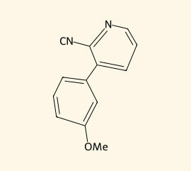 [C-]#[N+]c1ncccc1-c1cccc(OC)c1